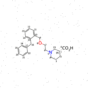 O=C(O)[C@@H]1CCCN(CCOCc2ccccc2Cc2ccccc2)C1